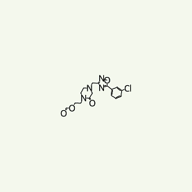 O=COCCN1CCN(Cc2noc(-c3cccc(Cl)c3)n2)CC1=O